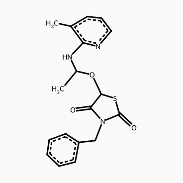 Cc1cccnc1NC(C)OC1SC(=O)N(Cc2ccccc2)C1=O